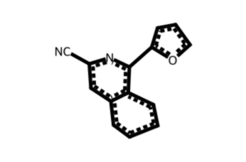 N#Cc1cc2ccccc2c(-c2ccco2)n1